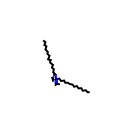 CCCCCCCCCCCCCCCCN1C=CN(C(C)C)C1CCCCCCCCCCCCCCC